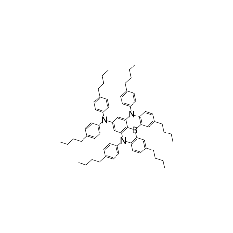 CCCCc1ccc(N(c2ccc(CCCC)cc2)c2cc3c4c(c2)N(c2ccc(CCCC)cc2)c2ccc(CCCC)cc2B4c2cc(CCCC)ccc2N3c2ccc(CCCC)cc2)cc1